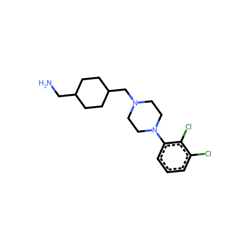 NCC1CCC(CN2CCN(c3cccc(Cl)c3Cl)CC2)CC1